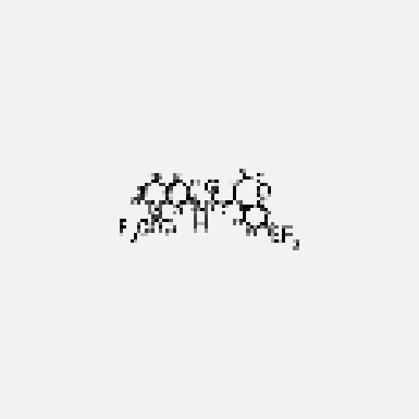 O=C(/C=C1\CCCOc2cc(C(F)(F)F)ccc21)Nc1ccc2c(c1)N(C(=O)C(F)(F)F)CCC2